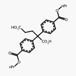 CCCOC(=O)c1ccc(C(CCC(=O)O)(C(=O)O)c2ccc(C(=O)OCCC)cc2)cc1